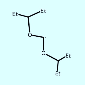 CCC(CC)O[CH]OC(CC)CC